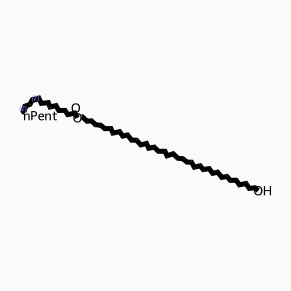 CCCCC/C=C\C/C=C\CCCCCCCC(=O)OCCCCCCCCCCCCCCCCCCCCCCCCCCCCCCCCCCCCCCCO